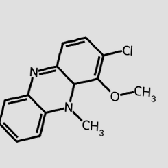 COC1=C(Cl)C=CC2=Nc3ccccc3N(C)C21